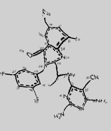 CC(Nc1nc(N)nc(N)c1C#N)c1nc2c(I)cc(F)cc2c(=O)n1-c1cc(F)cc(F)c1